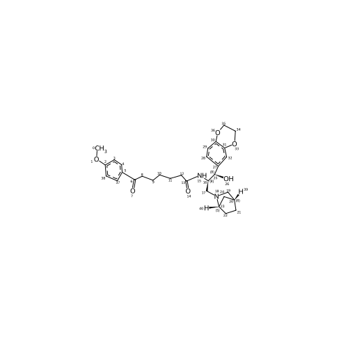 COc1ccc(C(=O)CCCCCC(=O)N[C@H](CN2C[C@@H]3CC[C@H]2C3)[C@H](O)c2ccc3c(c2)OCCO3)cc1